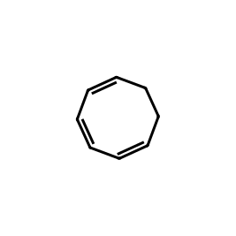 C1=C\C=C/CC\C=C/1